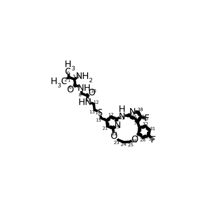 CC(C)C(N)C(=O)NCC(=O)NCCSCc1cc2nc(c1)OCCCOc1cc(F)ccc1-c1cc(ncc1F)N2